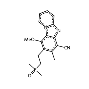 COc1c(CCP(C)(C)=O)c(C)c(C#N)c2nc3ccccn3c12